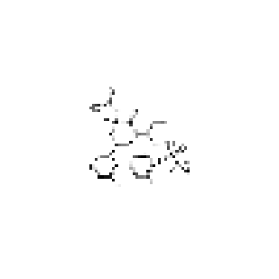 CC[C@@H](CNS(=O)(=O)C1(C)CC1)N1C(=O)[C@@](C)(CC(=O)O)C[C@H](c2cncc(Cl)c2)[C@H]1c1ccc(Cl)cc1